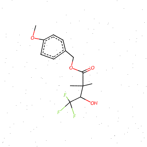 COc1ccc(COC(=O)C(C)(C)C(O)C(F)(F)F)cc1